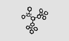 c1ccc(-c2cc(-c3cc(-c4ccc5c(c4)-c4ccccc4[Si]5(c4ccccc4)c4ccccc4)cc(-c4ccc5c(c4)-c4ccccc4[Si]5(c4ccccc4)c4ccccc4)c3)nc(-c3ccccc3)n2)cc1